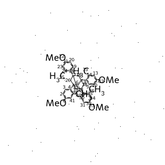 COc1ccc(C23CC4(c5ccc(OC)cc5C)CC(c5ccc(OC)cc5C)(C2)CC(c2ccc(OC)cc2C)(C3)C4)c(C)c1